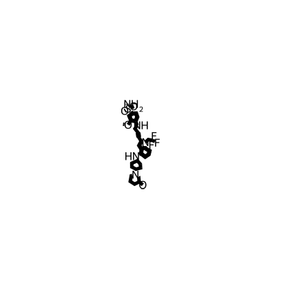 COc1cc(S(N)(=O)=O)ccc1NCC#Cc1cc2c(N[C@H]3CC[C@H](N4CCCC(OC)C4)CC3)cccc2n1CC(F)(F)F